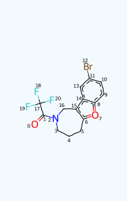 O=C(N1CCCc2oc3ccc(Br)cc3c2C1)C(F)(F)F